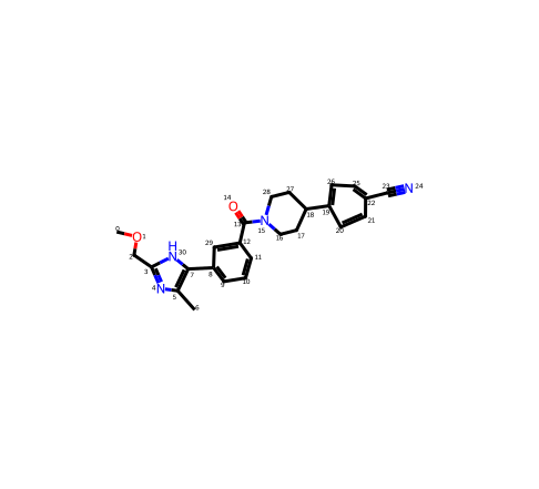 COCc1nc(C)c(-c2cccc(C(=O)N3CCC(c4ccc(C#N)cc4)CC3)c2)[nH]1